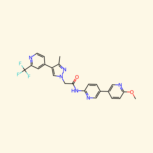 COc1ccc(-c2ccc(NC(=O)Cn3cc(-c4ccnc(C(F)(F)F)c4)c(C)n3)nc2)cn1